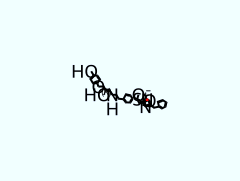 [O-][S+](Cc1noc(Cc2ccccc2)n1)c1ccc(CCNC[C@@H](O)COc2ccc(O)cc2)cc1